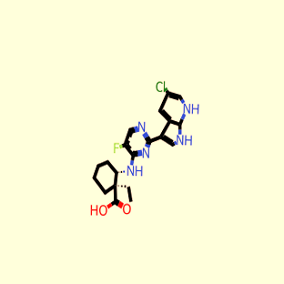 CC[C@]1(C(=O)O)CCCC[C@@H]1Nc1nc(C2=CNC3NC=C(Cl)C=C23)ncc1F